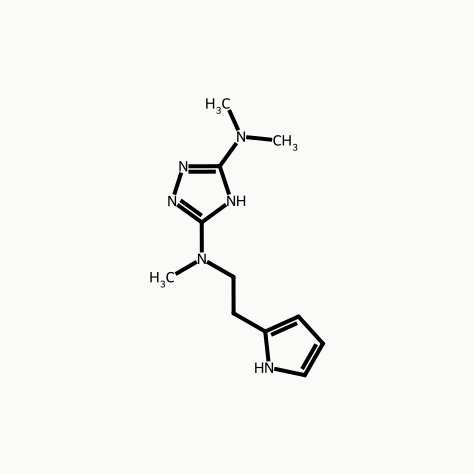 CN(C)c1nnc(N(C)CCc2ccc[nH]2)[nH]1